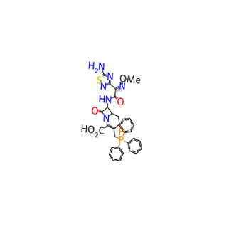 CO/N=C(/C(=O)NC1C(=O)N2C(C(=O)O)=C(C[PH](c3ccccc3)(c3ccccc3)c3ccccc3)CCC12)c1nsc(N)n1